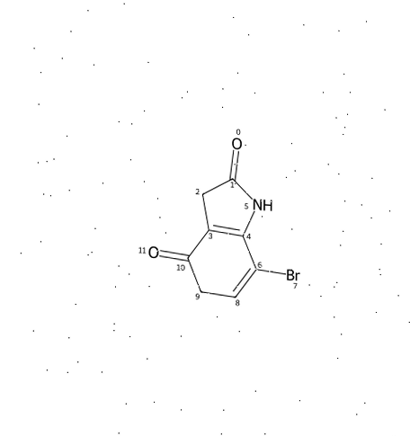 O=C1CC2=C(N1)C(Br)=CCC2=O